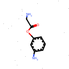 NCC(=O)Oc1cccc(N)c1